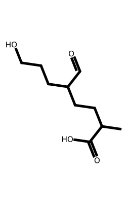 CC(CCC(C=O)CCCO)C(=O)O